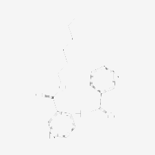 CCCCCCOC(=O)c1cccnc1.O=C(O)c1cccnc1